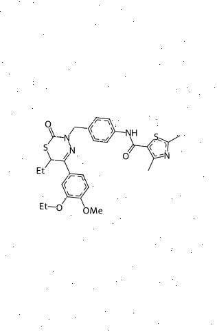 CCOc1cc(C2=NN(Cc3ccc(NC(=O)c4sc(C)nc4C)cc3)C(=O)SC2CC)ccc1OC